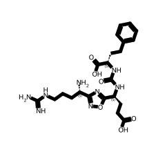 N=C(N)NCCC[C@H](N)c1noc([C@H](CCC(=O)O)NC(=O)N[C@@H](CCc2ccccc2)C(=O)O)n1